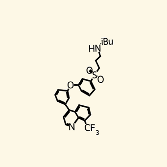 CC[C@@H](C)NCCCS(=O)(=O)c1cccc(Oc2cccc(-c3ccnc4c(C(F)(F)F)cccc34)c2)c1